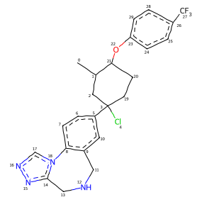 CC1CC(Cl)(c2ccc3c(c2)CNCc2nncn2-3)CCC1Oc1ccc(C(F)(F)F)cc1